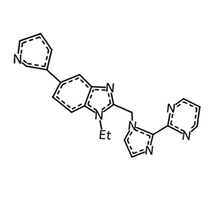 CCn1c(Cn2ccnc2-c2ncccn2)nc2cc(-c3cccnc3)ccc21